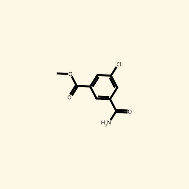 COC(=O)c1cc(Cl)cc(C(N)=O)c1